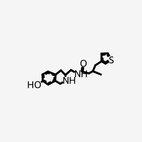 CC(CC(=O)NCC1Cc2ccc(O)cc2CN1)Cc1ccsc1